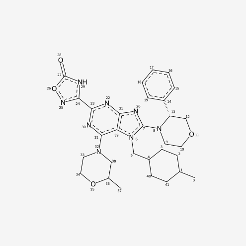 CC1CCC(Cn2c(N3CCOC[C@H]3c3ccccc3)nc3nc(-c4noc(=O)[nH]4)nc(N4CCOC(C)C4)c32)CC1